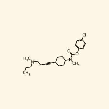 CCCN(C)CCC#CC1CCC(N(C)C(=O)Oc2ccc(Cl)cc2)CC1